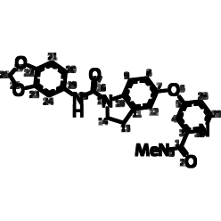 CNC(=O)c1cc(Oc2ccc3c(c2)CCN3C(=O)Nc2ccc3c(c2)OCO3)ccn1